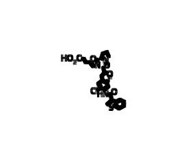 O=C(O)CCc1cnc([C@@H]2CCCN2OCC(=O)Cc2cc(Cl)c(NC(=O)c3csc4ccccc34)cc2F)o1